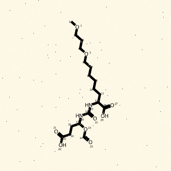 COCCCOCCCCCCC(NC(=O)NC(CCC(=O)O)OC=O)C(=O)O